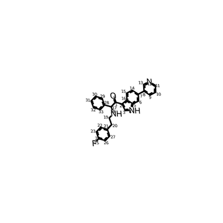 O=C(c1c[nH]c2cc(-c3cccnc3)ccc12)C(NCCc1ccc(F)cc1)c1ccccc1